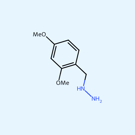 COc1ccc(CNN)c(OC)c1